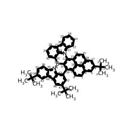 CC(C)(C)c1cc2ccc3c4c5c(c6ccc(c1)c2c36)-n1c2ccccc2c2cccc(c21)B5n1c2ccc(C(C)(C)C)cc2c2cc(C(C)(C)C)cc-4c21